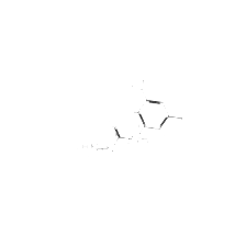 NNC(=O)Nc1cc(Cl)cc(Cl)c1